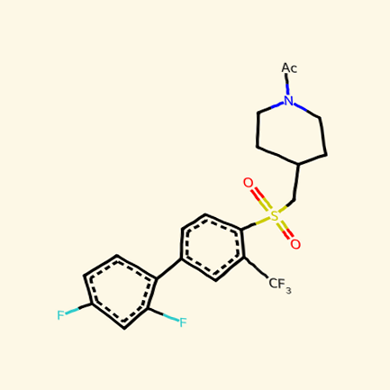 CC(=O)N1CCC(CS(=O)(=O)c2ccc(-c3ccc(F)cc3F)cc2C(F)(F)F)CC1